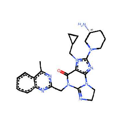 Cc1nc(CN2C(=O)c3c(nc(N4CCC[C@@H](N)C4)n3CC3CC3)N3CCN=C23)nc2ccccc12